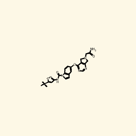 CC(C)(C)c1cc(NC(=O)n2ccc3cc(Oc4ncnc5c4CN(CC(N)=O)C5)ccc32)no1